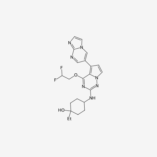 CCC1(O)CCC(Nc2nc(OCC(F)F)c3c(-c4cnc5nccn5c4)ccn3n2)CC1